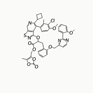 COc1ccccc1-c1nccc(COc2ccccc2CC(Oc2nsc3cnc(C4CCC4)c(-c4ccc(OC)c(Cl)c4C)c23)C(=O)OCc2oc(=O)oc2C)n1